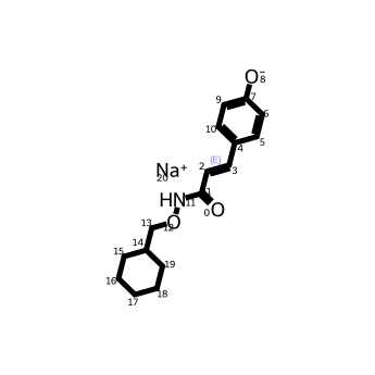 O=C(/C=C/c1ccc([O-])cc1)NOCC1CCCCC1.[Na+]